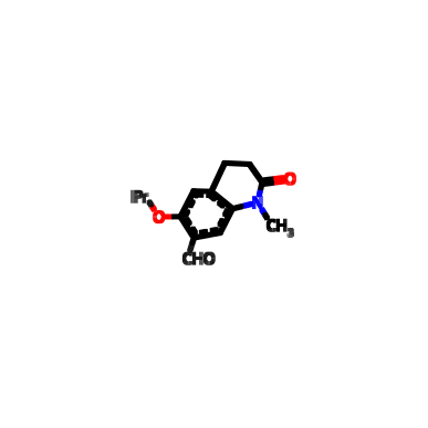 CC(C)Oc1cc2c(cc1C=O)N(C)C(=O)CC2